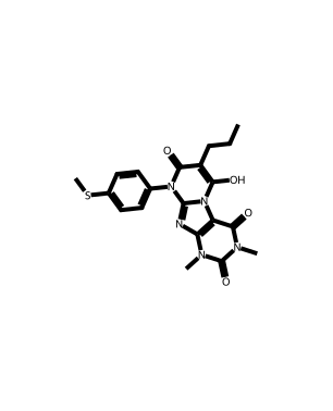 CCCc1c(O)n2c3c(=O)n(C)c(=O)n(C)c3nc2n(-c2ccc(SC)cc2)c1=O